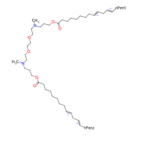 CCCCC/C=C/C/C=C/CCCCCCCC(=O)OCCCN(C)CCOCCOCCN(C)CCCOC(=O)CCCCCCC/C=C/C/C=C/CCCCC